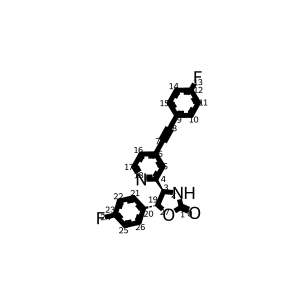 O=C1N[C@H](c2cc(C#Cc3ccc(F)cc3)ccn2)[C@@H](c2ccc(F)cc2)O1